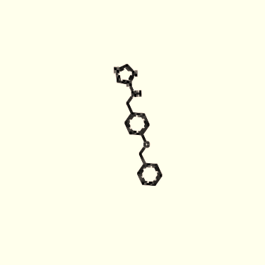 c1ccc(COc2ccc(CNn3cncn3)cc2)cc1